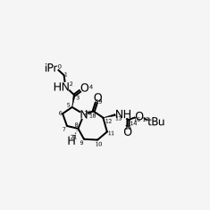 CC(C)CNC(=O)[C@@H]1CC[C@@H]2CCC[C@H](NC(=O)OC(C)(C)C)C(=O)N21